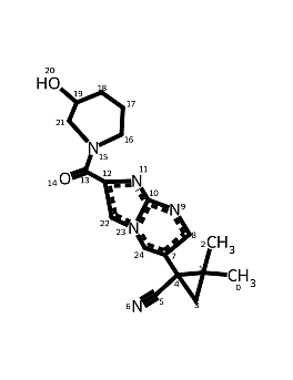 CC1(C)CC1(C#N)c1cnc2nc(C(=O)N3CCCC(O)C3)cn2c1